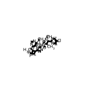 COc1ncnc(OC)c1-n1c(NS(=O)(=O)C(C)C(OC)c2ncc(Cl)cn2)nnc1C1CC(F)(F)C1